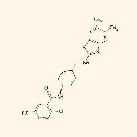 Cc1cc2nc(NC[C@H]3CC[C@H](NC(=O)c4cc(C(F)(F)F)ccc4Cl)CC3)sc2cc1C